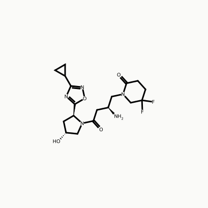 N[C@@H](CC(=O)N1C[C@H](O)C[C@H]1c1nc(C2CC2)no1)CN1CC(F)(F)CCC1=O